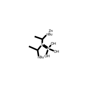 CCCCC(C)S(C(C)CCCC)=P(O)(O)O.[Zn]